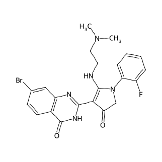 CN(C)CCNC1=C(c2nc3cc(Br)ccc3c(=O)[nH]2)C(=O)CN1c1ccccc1F